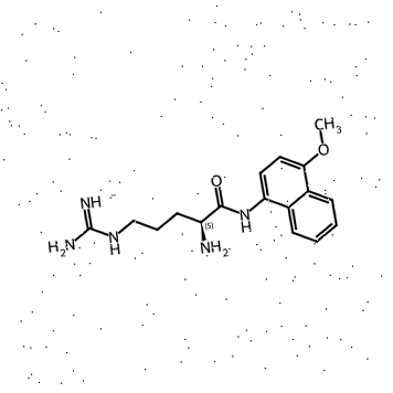 COc1ccc(NC(=O)[C@@H](N)CCCNC(=N)N)c2ccccc12